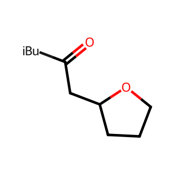 CCC(C)C(=O)CC1CCCO1